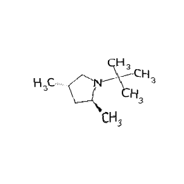 C[C@H]1C[C@H](C)N(C(C)(C)C)C1